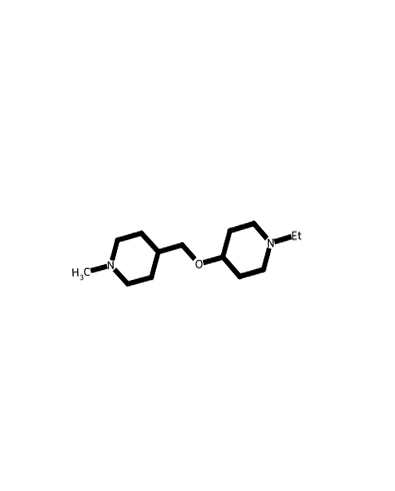 CCN1CCC(OCC2CCN(C)CC2)CC1